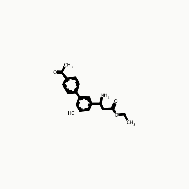 CCOC(=O)CC(N)c1cccc(-c2ccc(C(C)=O)cc2)c1.Cl